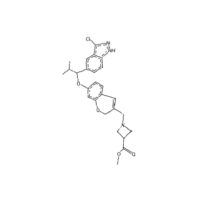 COC(=O)C1CN(CC2=Cc3ccc(OC(c4ccc5[nH]nc(Cl)c5c4)C(C)C)cc3OC2)C1